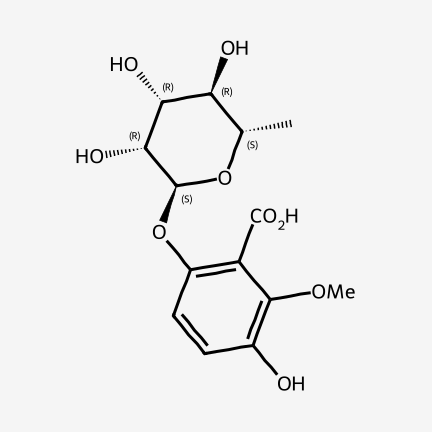 COc1c(O)ccc(O[C@@H]2O[C@@H](C)[C@H](O)[C@@H](O)[C@H]2O)c1C(=O)O